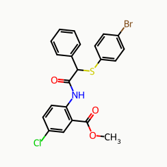 COC(=O)c1cc(Cl)ccc1NC(=O)C(Sc1ccc(Br)cc1)c1ccccc1